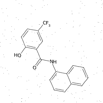 O=C(Nc1cccc2ccccc12)c1cc(C(F)(F)F)ccc1O